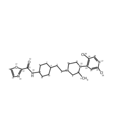 CC1CN(CCC2CCC(NC(=O)c3ncco3)CC2)CCN1c1cc(Cl)ncc1Cl